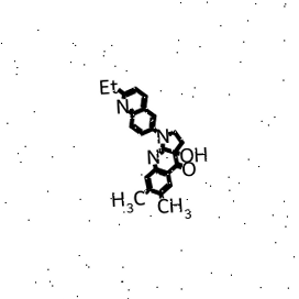 CCc1ccc2cc(N3CCC4(O)C(=O)c5cc(C)c(C)cc5N=C34)ccc2n1